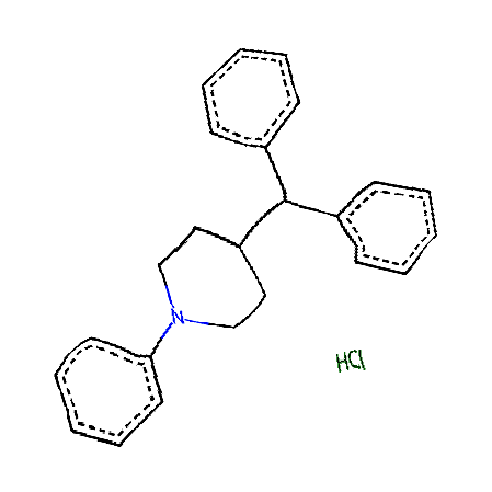 Cl.c1ccc(C(c2ccccc2)C2CCN(c3ccccc3)CC2)cc1